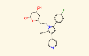 CC(C)c1c(-c2ccncc2)cc(-c2ccc(F)cc2)n1CCC1CC(O)CC(=O)O1